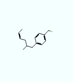 C/C=C\CC(C)Cc1ccc(CCl)cc1